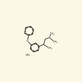 CC(CN(C)C)c1cccc(Oc2ccccc2)c1.Cl